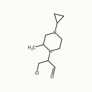 CC1CN(C2CC2)CCN1C(C=O)CCl